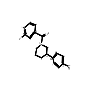 O=C(c1ccnc(F)c1)N1CCCC(c2ccc(Cl)cc2)C1